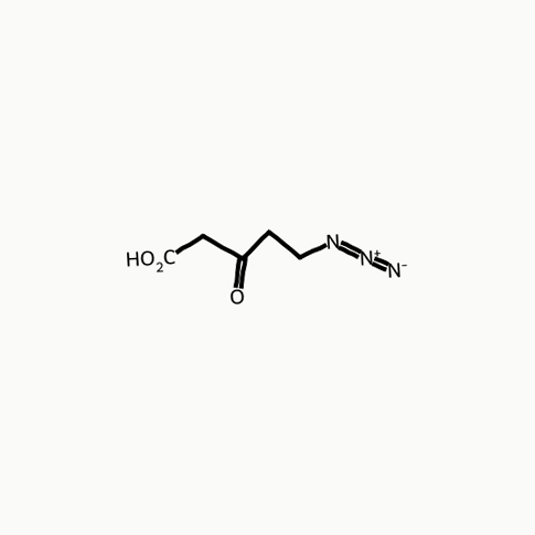 [N-]=[N+]=NCCC(=O)CC(=O)O